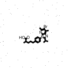 Cc1nc2c(nc(C(C)C)n2-c2ccc(CCCC(C)C(=O)O)cc2)c(C)c1Br